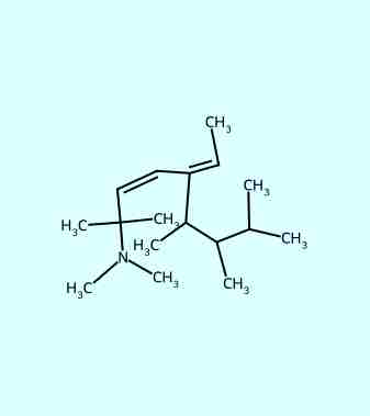 C/C=C(\C=C/C(C)(C)N(C)C)C(C)C(C)C(C)C